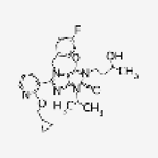 CC(O)CCn1c(=O)c2c(nc(-c3cccnc3OCC3CC3)n2Cc2ccc(F)cc2)n(C(C)C)c1=O